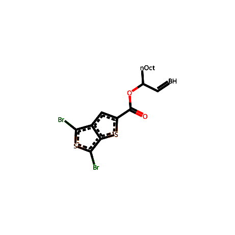 B=CC(CCCCCCCC)OC(=O)c1cc2c(Br)sc(Br)c2s1